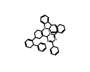 C1=CCC(C2=NC(C3=C(N4c5ccccc5C5C=CC=CC54)CCC(C4=CC=CCC4c4ccccc4)C3)NC(C3=CCCC=C3)=N2)C=C1